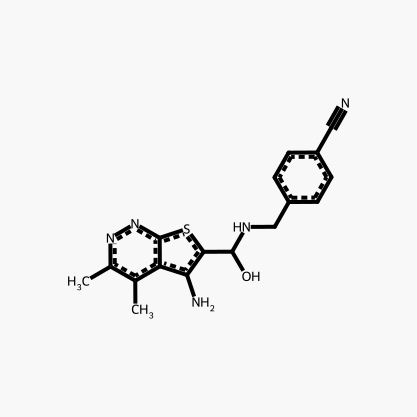 Cc1nnc2sc(C(O)NCc3ccc(C#N)cc3)c(N)c2c1C